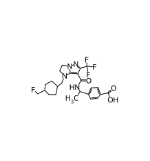 CC(NC(=O)c1c(C(F)(F)F)nn2c1N(CC1CCC(CF)CC1)CC2)c1ccc(C(=O)O)cc1